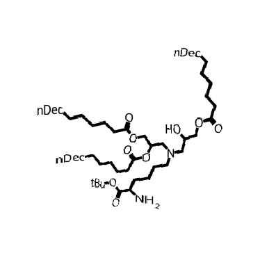 CCCCCCCCCCCCCCCC(=O)OCC(O)CN(CCCCC(N)C(=O)OC(C)(C)C)CC(COC(=O)CCCCCCCCCCCCCCC)OC(=O)CCCCCCCCCCCCCCC